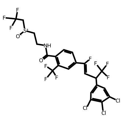 O=C(NCC[S+]([O-])CC(F)(F)F)c1ccc(C(F)=CC(c2cc(Cl)c(Cl)c(Cl)c2)C(F)(F)F)cc1C(F)(F)F